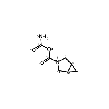 NC(=O)OC(=O)N1CC2CC2C1